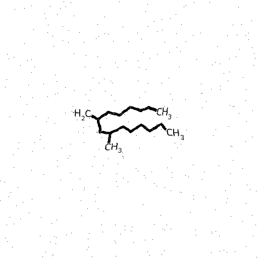 [CH2]C([CH]C(C)CCCCCC)CCCCCC